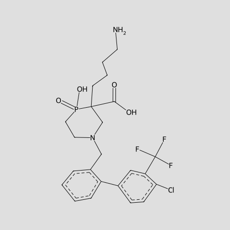 NCCCCC1(C(=O)O)CN(Cc2ccccc2-c2ccc(Cl)c(C(F)(F)F)c2)CCP1(=O)O